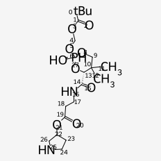 CC(C)(C)C(=O)OCO[PH]1(O)OCC(C)(C)[C@H](C(=O)NCCC(=O)OC2CCNC2)O1